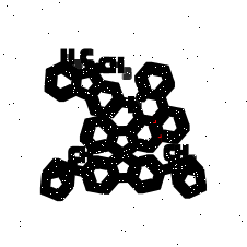 CC1(C)c2ccccc2-c2ccc(N(c3ccccc3-c3ccccc3)c3cccc4c3-c3ccccc3C43c4cc(C5(C)CC6CCC5C6)ccc4-c4ccc(C5(C)CC6CCC5C6)cc43)cc21